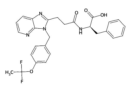 CC(F)(F)Oc1ccc(Cn2c(CCC(=O)N[C@H](Cc3ccccc3)C(=O)O)nc3cccnc32)cc1